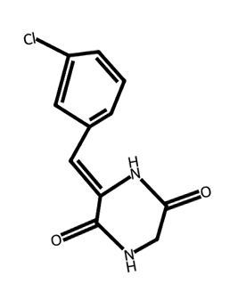 O=C1CNC(=O)C(=Cc2cccc(Cl)c2)N1